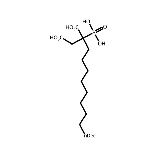 CCCCCCCCCCCCCCCCCCC(CC(=O)O)(C(=O)O)P(=O)(O)O